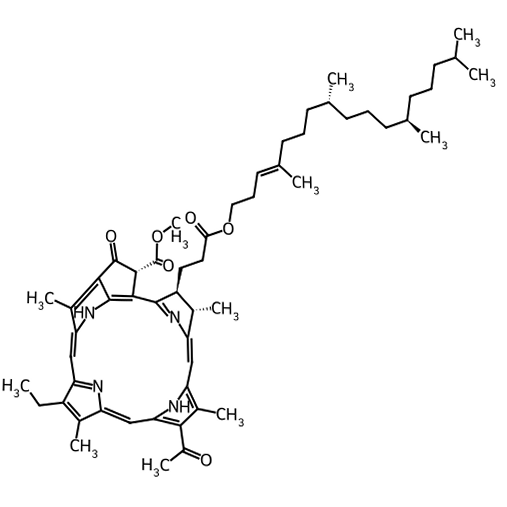 CCC1=C(C)c2cc3[nH]c(cc4nc(c5c6[nH]c(cc1n2)c(C)c6C(=O)[C@@H]5C(=O)OC)[C@@H](CCC(=O)OCC/C=C(\C)CCC[C@H](C)CCC[C@H](C)CCCC(C)C)[C@@H]4C)c(C)c3C(C)=O